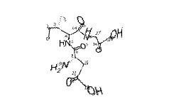 CC[C@H](C)[C@H](NC(=O)[C@@H](N)CC(=O)O)C(=O)NCC(=O)O